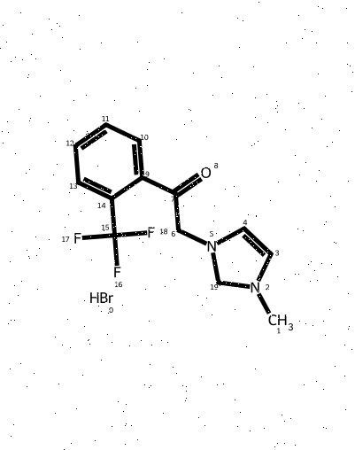 Br.CN1C=CN(CC(=O)c2ccccc2C(F)(F)F)C1